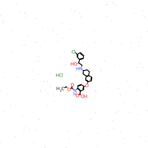 CCOC(=O)Nc1ccc(Oc2ccc3c(c2)C[C@@H](NC[C@H](O)c2cccc(Cl)c2)CC3)cc1C(=O)O.Cl